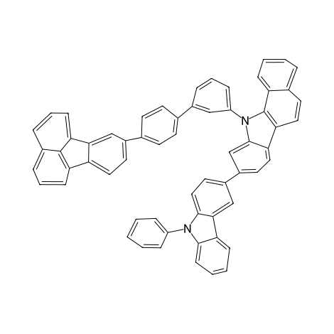 c1ccc(-n2c3ccccc3c3cc(-c4ccc5c6ccc7ccccc7c6n(-c6cccc(-c7ccc(-c8ccc9c(c8)-c8cccc%10cccc-9c8%10)cc7)c6)c5c4)ccc32)cc1